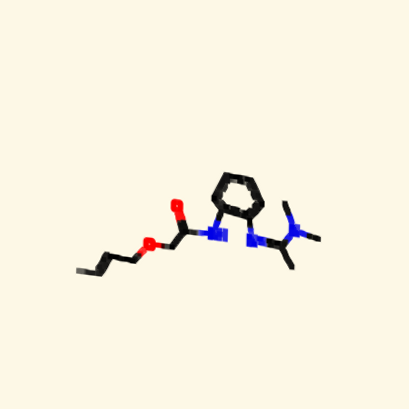 CC=CCOCC(=O)Nc1ccccc1N=C(C)N(C)C